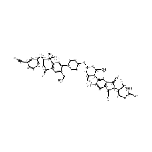 CCc1cc2c(cc1N1CCC(CN3CC(C)N(c4cc5c(cc4F)C(=O)N(C4CCC(=O)NC4=O)C5=O)C(C)C3)CC1)C(C)(C)c1[nH]c3cc(C#N)ccc3c1C2=O